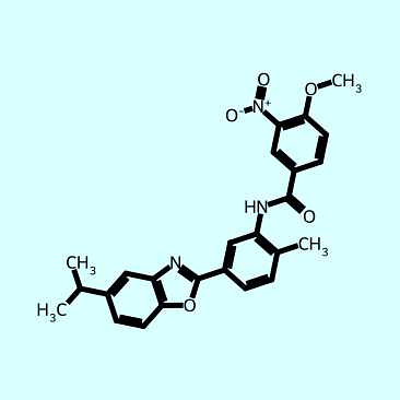 COc1ccc(C(=O)Nc2cc(-c3nc4cc(C(C)C)ccc4o3)ccc2C)cc1[N+](=O)[O-]